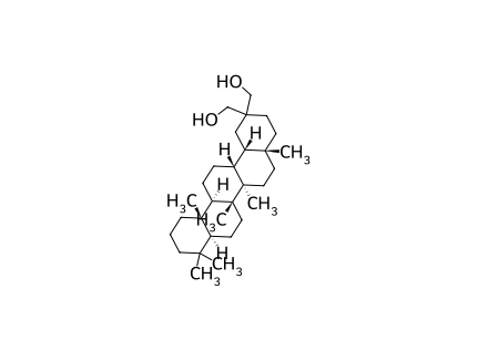 CC1(C)CCC[C@]2(C)[C@H]3CC[C@@H]4[C@@H]5CC(CO)(CO)CC[C@]5(C)CC[C@@]4(C)[C@]3(C)CC[C@@H]12